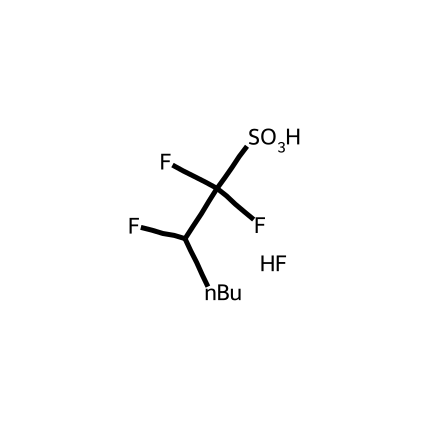 CCCCC(F)C(F)(F)S(=O)(=O)O.F